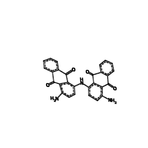 Nc1ccc(Nc2ccc(N)c3c2C(=O)c2ccccc2C3=O)c2c1C(=O)c1ccccc1C2=O